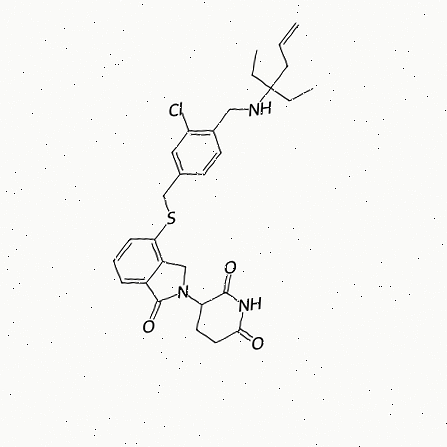 C=CCC(CC)(CC)NCc1ccc(CSc2cccc3c2CN(C2CCC(=O)NC2=O)C3=O)cc1Cl